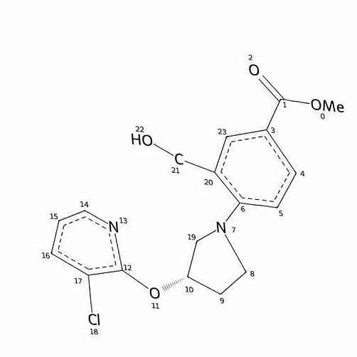 COC(=O)c1ccc(N2CC[C@H](Oc3ncccc3Cl)C2)c(CO)c1